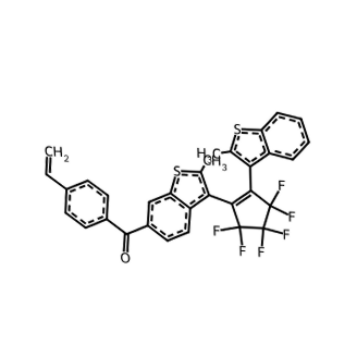 C=Cc1ccc(C(=O)c2ccc3c(C4=C(c5c(C)sc6ccccc56)C(F)(F)C(F)(F)C4(F)F)c(C)sc3c2)cc1